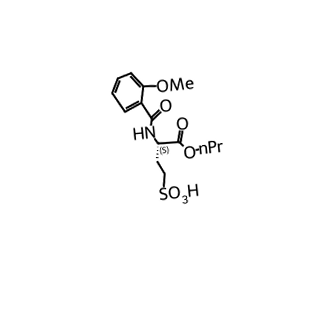 CCCOC(=O)[C@H](CCS(=O)(=O)O)NC(=O)c1ccccc1OC